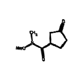 CON(C)C(=O)C1CCC(=O)C1